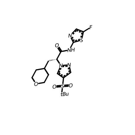 CC(C)(C)S(=O)(=O)c1cnn([C@H](CC2CCOCC2)C(=O)Nc2ncc(F)s2)c1